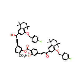 CC1(C)CCC(C)(C)c2c(OCc3ccc(F)cc3)cc(C(=O)C=Cc3ccc(C(=O)Oc4cc(C#CC(O)c5cc(OCc6ccc(F)cc6)c6c(c5)C(C)(C)CCC6(C)C)ccc4C(=O)O)c(O)c3)cc21